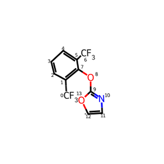 FC(F)(F)c1cccc(C(F)(F)F)c1Oc1nc[c]o1